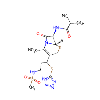 CSC(C#N)C(=O)N[C@@H]1C(=O)N2C(C(=O)O)=C(C(CCNS(C)(=O)=O)Sc3nnn[nH]3)CS[C@@H]12